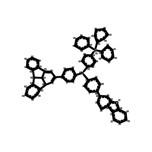 C1=C(c2ccc(N(c3ccc(-c4ccc5c(c4)oc4ccccc45)cc3)c3ccc([Si](c4ccccc4)(c4ccccc4)c4ccccc4)cc3)cc2)C=C2c3ccccc3N3c4ccccc4C1C23